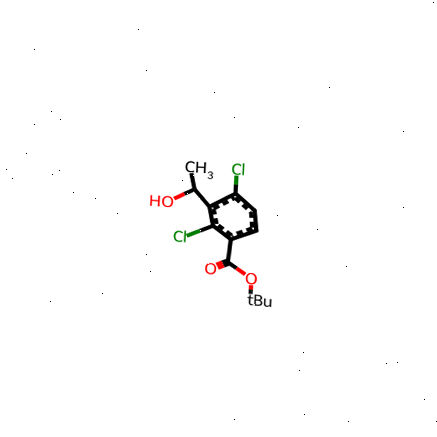 CC(O)c1c(Cl)ccc(C(=O)OC(C)(C)C)c1Cl